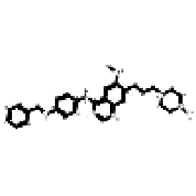 COc1cc2c(Nc3ccc(OCc4ccccc4)cc3)ncnc2cc1CCCN1CC[S+]([O-])CC1